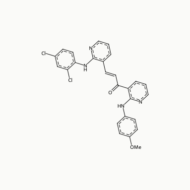 COc1ccc(Nc2ncccc2C(=O)C=Cc2cccnc2Nc2ccc(Cl)cc2Cl)cc1